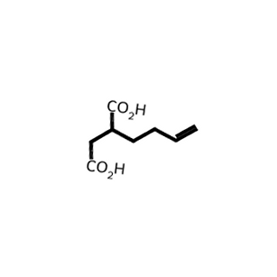 C=CCCC(CC(=O)O)C(=O)O